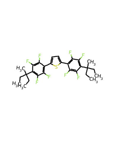 CCC(C)(CC)c1c(F)c(F)c(-c2ccc(-c3c(F)c(F)c(C(C)(CC)CC)c(F)c3F)s2)c(F)c1F